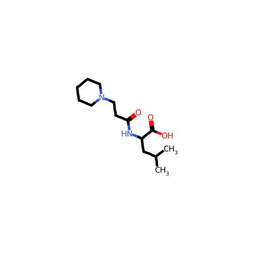 CC(C)CC(NC(=O)CCN1CCCCC1)C(=O)O